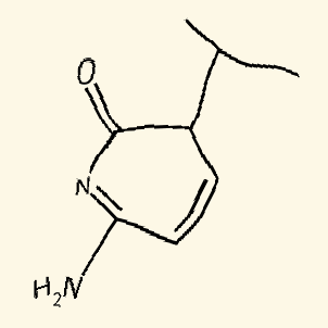 CC(C)C1C=CC(N)=NC1=O